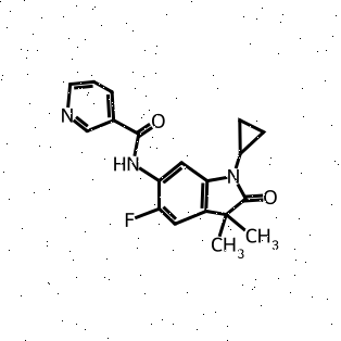 CC1(C)C(=O)N(C2CC2)c2cc(NC(=O)c3cccnc3)c(F)cc21